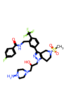 CS(=O)(=O)N1CCc2c(c(-c3ccc(C(F)(F)F)c(CNC(=O)c4ccc(F)cc4)c3)nn2CC(O)CN2CCN(N)CC2)C1